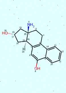 N[C@@]12CCc3c(cc(O)c4ccccc34)[C@H]1C[C@H](O)C2